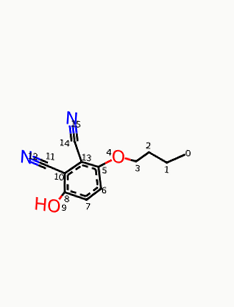 CCCCOc1ccc(O)c(C#N)c1C#N